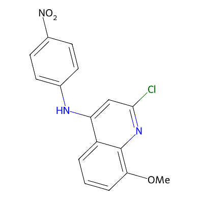 COc1cccc2c(Nc3ccc([N+](=O)[O-])cc3)cc(Cl)nc12